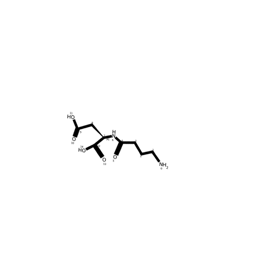 NCCCC(=O)N[C@H](CC(=O)O)C(=O)O